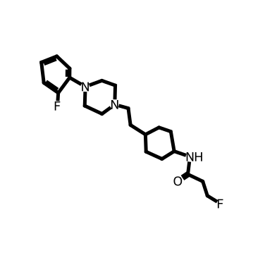 O=C(CCF)NC1CCC(CCN2CCN(c3ccccc3F)CC2)CC1